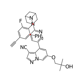 C#Cc1cc(F)c(CN2C3CC2CN(c2ccc(-c4cc(OCC(C)(C)O)cn5ncc(C#N)c45)cn2)C3)c(P)c1